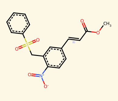 COC(=O)/C=C/c1ccc([N+](=O)[O-])c(CS(=O)(=O)c2ccccc2)c1